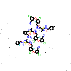 Cc1ccc(C(=O)Nc2nc(C)c(-c3nnc(Cc4ccc(Cl)c(Oc5cc(Cl)cc(C#N)c5)c4F)o3)s2)cc1.Cc1nc(-c2ccccc2C(N)=O)sc1-c1nnc(Cc2ccc(Cl)c(Oc3cc(Cl)cc(C#N)c3)c2F)o1.Cc1nc(NC(=O)c2ccccc2F)sc1-c1nnc(Cc2ccc(Cl)c(Oc3cc(Cl)cc(C#N)c3)c2F)o1